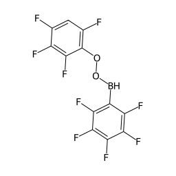 Fc1cc(F)c(OOBc2c(F)c(F)c(F)c(F)c2F)c(F)c1F